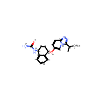 COC(C)c1nnc2ccc(O[C@@H]3CC[C@H](NC(N)=O)c4ccccc43)cn12